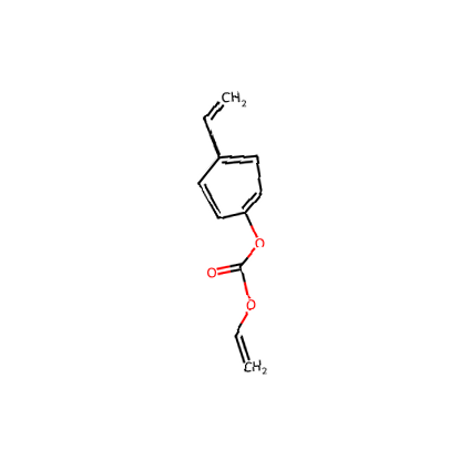 C=COC(=O)Oc1ccc(C=C)cc1